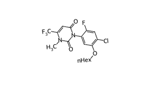 CCCCCCOc1cc(-n2c(=O)cc(C(F)(F)F)n(C)c2=O)c(F)cc1Cl